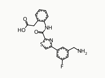 NCc1cc(F)cc(-c2csc(C(=O)Nc3ccccc3CC(=O)O)n2)c1